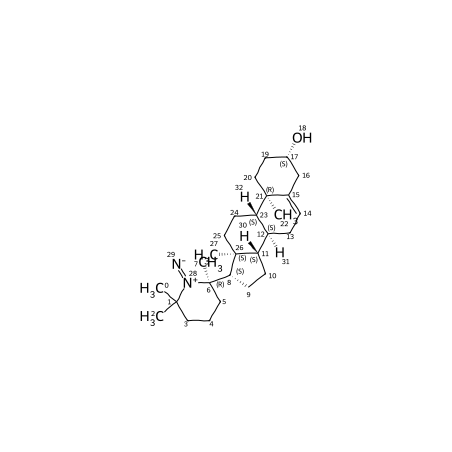 CC1(C)CCC[C@](C)([C@H]2CC[C@H]3[C@@H]4CC=C5C[C@@H](O)CC[C@]5(C)[C@H]4CC[C@@]32C)[N+]1=[N-]